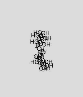 C=C1CC2CCC3[C@](C)(C(=O)OC4OC(CO)C(O)C(O)C4OC4OC(CO)C(O)C(O)C4O)CCC[C@@]3(C)[C@@H]2CCC1OC1OC(CO)C(O)C(OC2OC(CO)C(O)C(O)C2O)C1O